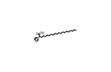 CCCCCCCCCCCCCCCCCCCC(C(=O)O)n1ccnc1